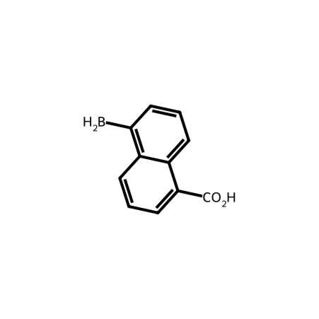 Bc1cccc2c(C(=O)O)cccc12